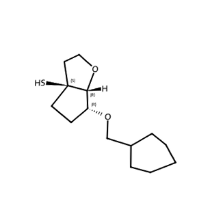 S[C@@]12CCO[C@@H]1[C@H](OCC1CCCCC1)CC2